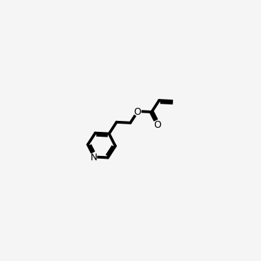 C=CC(=O)OCCc1ccncc1